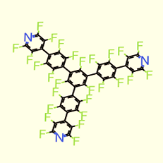 Fc1nc(F)c(F)c(-c2c(F)c(F)c(-c3c(F)c(-c4c(F)c(F)c(-c5c(F)c(F)nc(F)c5F)c(F)c4F)c(F)c(-c4c(F)c(F)c(-c5c(F)c(F)nc(F)c5F)c(F)c4F)c3F)c(F)c2F)c1F